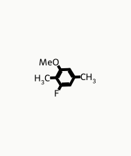 COc1cc(C)cc(F)c1C